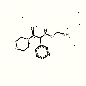 NCOBC(C(=O)N1CCOCC1)c1cccnc1